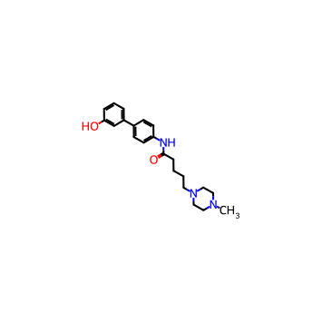 CN1CCN(CCCCC(=O)Nc2ccc(-c3cccc(O)c3)cc2)CC1